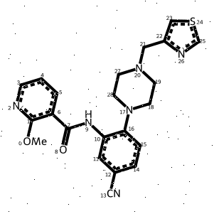 COc1ncccc1C(=O)Nc1cc(C#N)ccc1N1CCN(Cc2cscn2)CC1